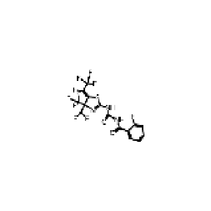 O=C(NC(=O)c1ccccc1F)NC1=NC(C(F)(F)F)(C(F)(F)F)C(=C(F)C(F)(F)F)S1